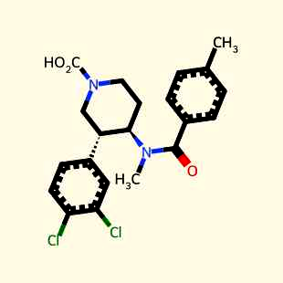 Cc1ccc(C(=O)N(C)[C@@H]2CCN(C(=O)O)C[C@H]2c2ccc(Cl)c(Cl)c2)cc1